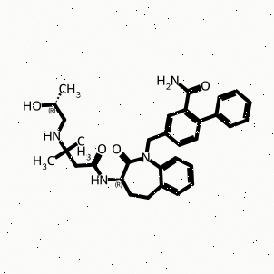 C[C@@H](O)CNC(C)(C)CC(=O)N[C@@H]1CCc2ccccc2N(Cc2ccc(-c3ccccc3)c(C(N)=O)c2)C1=O